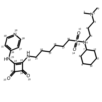 CN(C)CCCN(C1CCCCC1)S(=O)(=O)CCCCCCNc1c(Nc2ccncc2)c(=O)c1=O